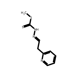 CSC(=S)NN=CCc1ccccn1